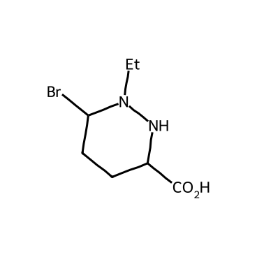 CCN1NC(C(=O)O)CCC1Br